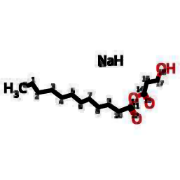 CCCCCCCCCCCC(=O)OC(=O)CCO.[NaH]